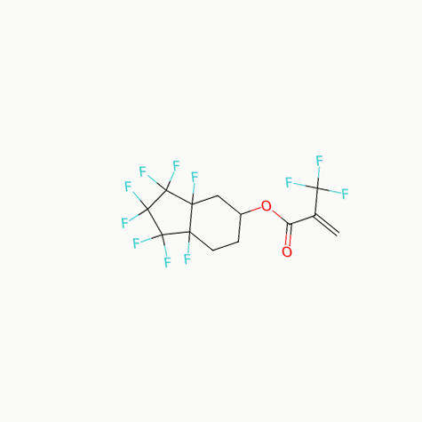 C=C(C(=O)OC1CCC2(F)C(F)(F)C(F)(F)C(F)(F)C2(F)C1)C(F)(F)F